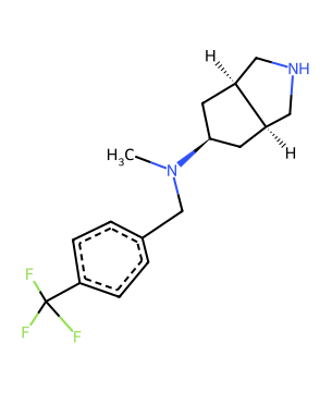 CN(Cc1ccc(C(F)(F)F)cc1)[C@H]1C[C@H]2CNC[C@H]2C1